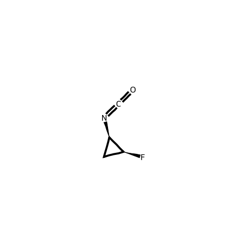 O=C=N[C@@H]1C[C@@H]1F